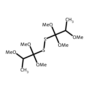 COC(C)C(OC)(OC)SSC(OC)(OC)C(C)OC